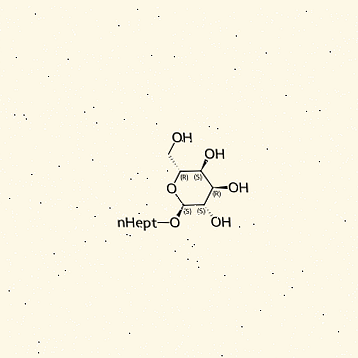 CCCCCCCO[C@H]1O[C@H](CO)[C@@H](O)[C@@H](O)[C@@H]1O